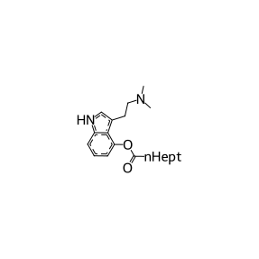 CCCCCCCC(=O)Oc1cccc2[nH]cc(CCN(C)C)c12